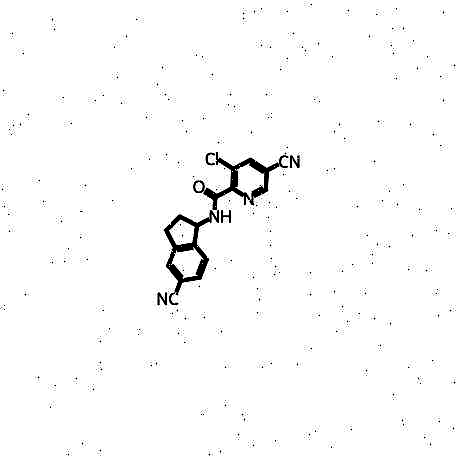 N#Cc1cnc(C(=O)NC2CCc3cc(C#N)ccc32)c(Cl)c1